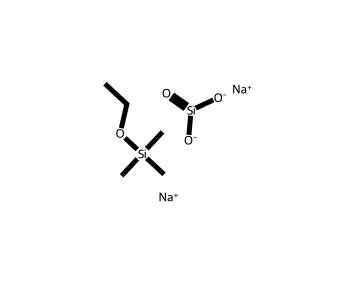 CCO[Si](C)(C)C.O=[Si]([O-])[O-].[Na+].[Na+]